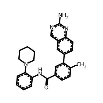 Cc1ccc(C(=O)Nc2ccccc2N2CCCCC2)cc1-c1ccc2nc(N)ncc2c1